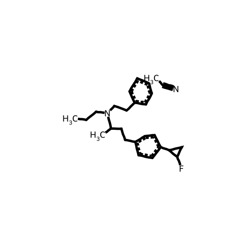 CC#N.CCCN(CCc1ccccc1)C(C)CCc1ccc(C2CC2F)cc1